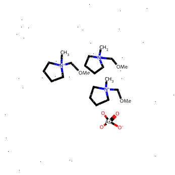 COC[N+]1(C)CCCC1.COC[N+]1(C)CCCC1.COC[N+]1(C)CCCC1.O=[As]([O-])([O-])[O-]